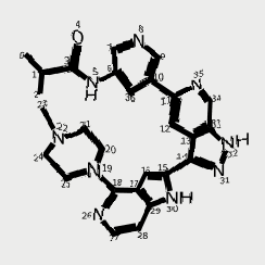 CC(C)C(=O)Nc1cncc(-c2cc3c(-c4cc5c(N6CCN(C)CC6)nccc5[nH]4)n[nH]c3cn2)c1